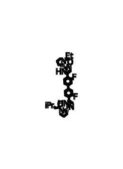 CCC(=O)N1CCC[C@H]1c1ncc(-c2ccc(-c3ccc(-c4cnc([C@@H]5CCCN5C(=O)CC(C)C)[nH]4)c(F)c3)cc2F)[nH]1